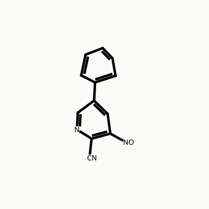 N#Cc1ncc(-c2ccccc2)cc1N=O